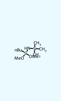 CCCC[Si](N[Si](C)(C)C)(OC)OC